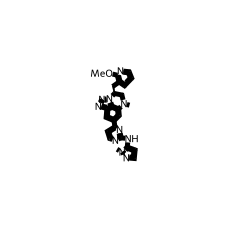 COc1ncccc1C[C@H]1CN(C)c2cc(-c3ccnc(Nc4ccnn4C)n3)cc3nnn1c23